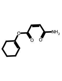 NC(=O)/C=C\C(=O)OC1=CCCCC1